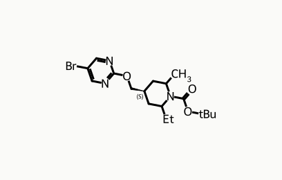 CCC1C[C@@H](COc2ncc(Br)cn2)CC(C)N1C(=O)OC(C)(C)C